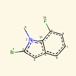 Cn1c(Br)cc2cccc(F)c21